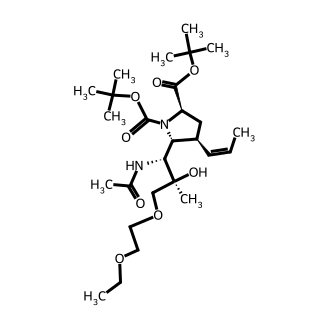 C/C=C\[C@@H]1C[C@H](C(=O)OC(C)(C)C)N(C(=O)OC(C)(C)C)[C@H]1[C@@H](NC(C)=O)[C@@](C)(O)COCCOCC